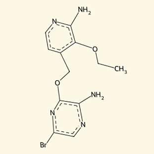 CCOc1c(COc2nc(Br)cnc2N)ccnc1N